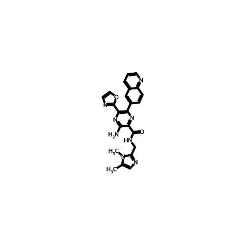 Cc1cnc(CNC(=O)c2nc(-c3ccc4ncccc4c3)c(-c3ncco3)nc2N)n1C